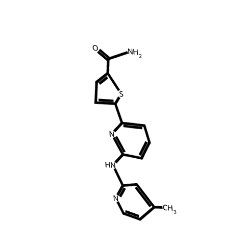 Cc1ccnc(Nc2cccc(-c3ccc(C(N)=O)s3)n2)c1